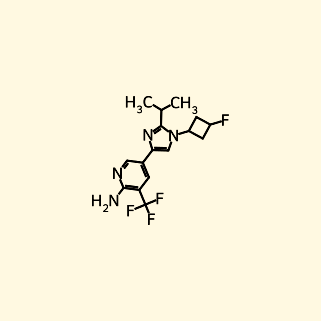 CC(C)c1nc(-c2cnc(N)c(C(F)(F)F)c2)cn1C1CC(F)C1